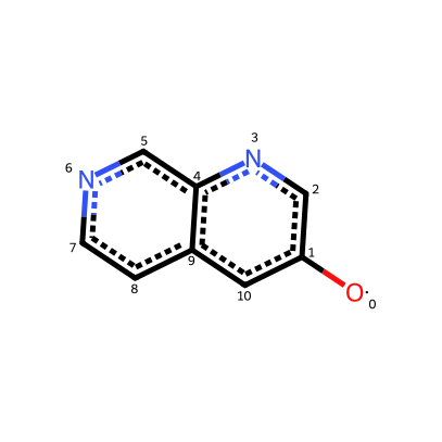 [O]c1cnc2cnccc2c1